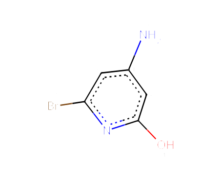 Nc1cc(O)nc(Br)c1